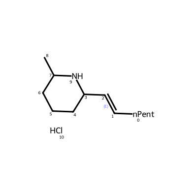 CCCCC/C=C/C1CCCC(C)N1.Cl